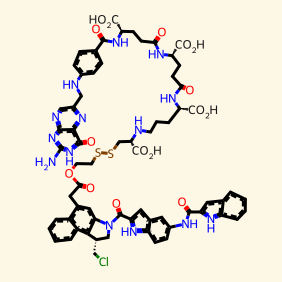 Nc1nc2ncc(CNc3ccc(C(=O)N[C@H](CCC(=O)N[C@H](CCC(=O)N[C@H](CCCN[C@H](CSSCCOC(=O)Cc4cc5c(c6ccccc46)[C@@H](CCl)CN5C(=O)c4cc5cc(NC(=O)c6cc7ccccc7[nH]6)ccc5[nH]4)C(=O)O)C(=O)O)C(=O)O)C(=O)O)cc3)nc2c(=O)[nH]1